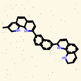 CC1=CC2=C(NC1)C1NC(c3ccc4ccc(C5C=Cc6ccc7c(c6N5)NCC=C7)cc4c3)=CC=C1C=C2